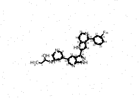 CCC(O)Nc1cncc(-c2cnc3[nH]nc(-c4cc5c(-c6cccc(F)c6)nccc5[nH]4)c3c2)c1